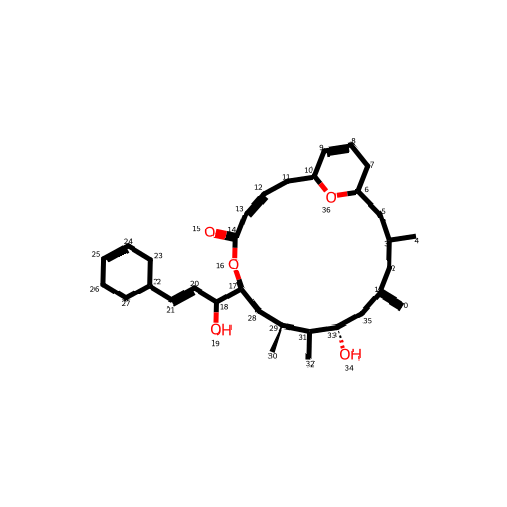 C=C1CC(C)CC2CC=CC(C/C=C\C(=O)OC(C(O)/C=C/C3CC=CCC3)C[C@H](C)C(C)[C@@H](O)C1)O2